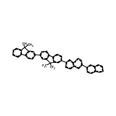 CC1(C)c2ccccc2-c2ccc(-c3ccc4c(c3)C(C(F)(F)F)(C(F)(F)F)c3cc(-c5ccc6cc(-c7ccc8ccccc8c7)ccc6c5)ccc3-4)cc21